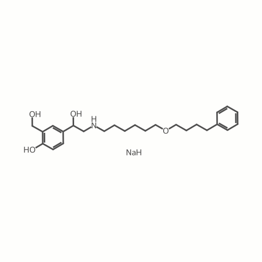 OCc1cc(C(O)CNCCCCCCOCCCCc2ccccc2)ccc1O.[NaH]